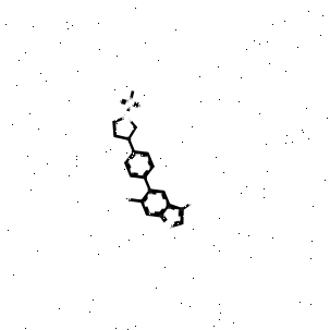 CS(=O)(=O)N1CCC(c2ccc(-c3cc4c(C(=O)O)c[nH]c4cc3Cl)cc2)C1